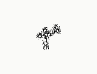 N#Cc1ccc(-c2ccc3c(-c4ccc(-c5cccc6ccccc56)cc4)c4ccccc4c(-c4ccccc4)c3c2)cc1